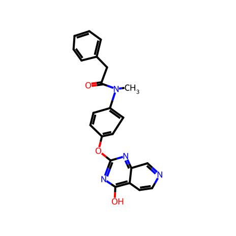 CN(C(=O)Cc1ccccc1)c1ccc(Oc2nc(O)c3ccncc3n2)cc1